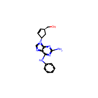 Nc1nc(Nc2ccccc2)c2ncn([C@H]3C=C[C@@H](CO)C3)c2n1